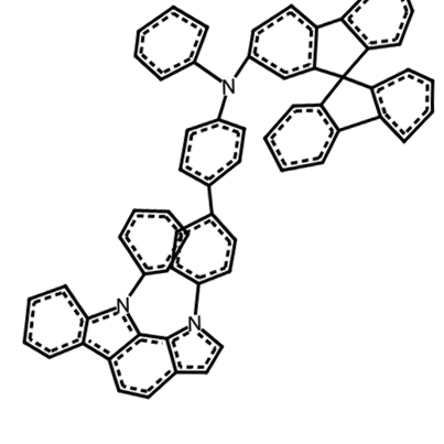 c1ccc(N(c2ccc(-c3ccc(-n4ccc5ccc6c7ccccc7n(-c7ccccc7)c6c54)cc3)cc2)c2ccc3c(c2)C2(c4ccccc4-c4ccccc42)c2ccccc2-3)cc1